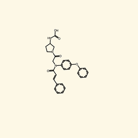 O=C(O)NC1CCN(C(=O)CN(C(=O)/C=C/c2ccccc2)c2ccc(Oc3ccccc3)cc2)C1